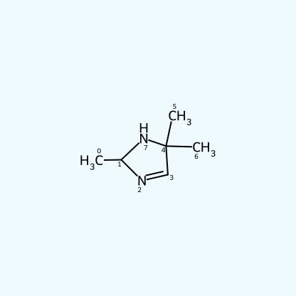 CC1N=CC(C)(C)N1